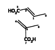 C/C=C/C(=O)O.C=C(C)C(=O)O